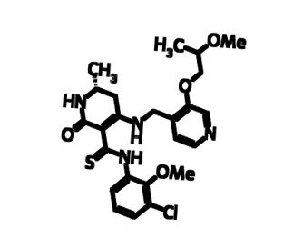 COc1c(Cl)cccc1NC(=S)C1=C(NCc2ccncc2OCC(C)OC)C[C@@H](C)NC1=O